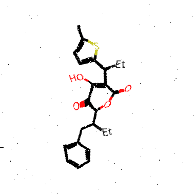 CCC(C1=C(O)C(=O)C(C(CC)Cc2ccccc2)OC1=O)c1ccc(C)s1